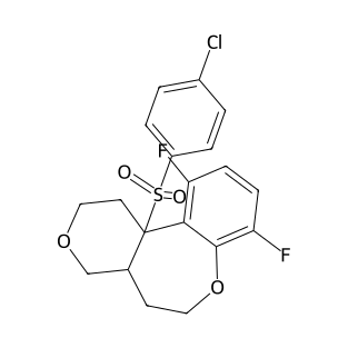 O=S(=O)(c1ccc(Cl)cc1)C12CCOCC1CCOc1c(F)ccc(F)c12